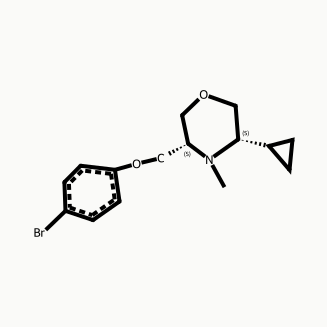 CN1[C@H](COc2ccc(Br)cc2)COC[C@@H]1C1CC1